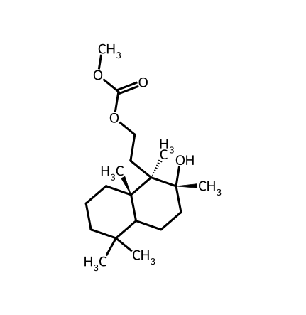 COC(=O)OCC[C@]1(C)[C@@]2(C)CCCC(C)(C)C2CC[C@@]1(C)O